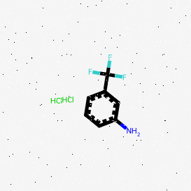 Cl.Cl.Nc1cccc(C(F)(F)F)c1